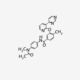 CC(=O)N(C)c1ccc(NC(=O)c2ccc(C)c(Oc3ncccc3-c3ccncn3)c2)cc1